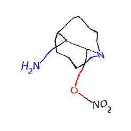 NC1C2CCN(CC2)C1O[N+](=O)[O-]